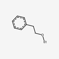 CCO[CH]Cc1ccccc1